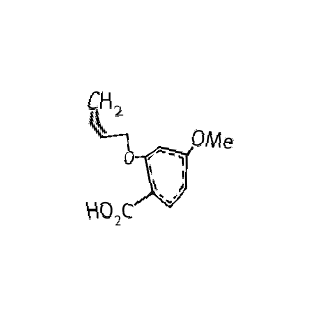 C=CCOc1cc(OC)ccc1C(=O)O